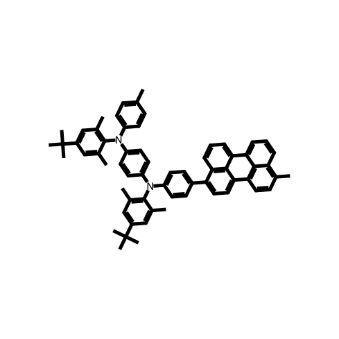 Cc1ccc(N(c2ccc(N(c3ccc(-c4ccc5c6ccc(C)c7cccc(c8cccc4c85)c76)cc3)c3c(C)cc(C(C)(C)C)cc3C)cc2)c2c(C)cc(C(C)(C)C)cc2C)cc1